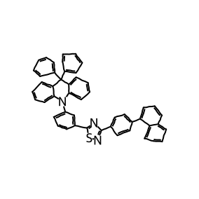 c1ccc(C2(c3ccccc3)c3ccccc3N(c3cccc(-c4nc(-c5ccc(-c6cccc7ccccc67)cc5)ns4)c3)c3ccccc32)cc1